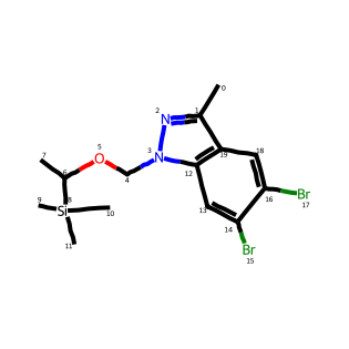 Cc1nn(COC(C)[Si](C)(C)C)c2cc(Br)c(Br)cc12